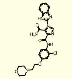 NC(=O)c1c(C(=O)Nc2ccc(OCCN3CCOCC3)cc2Cl)ncn1-c1nc2ccccc2[nH]1